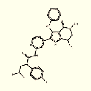 CC1CN(C)C(=O)c2c1[nH]c(-c1ccnc(NC(=O)C(CC(F)F)c3ccc(F)cc3)c1)c2Nc1ccccc1